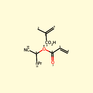 C=C(C)C(=O)O.C=CC(=O)OC(C#N)CCC